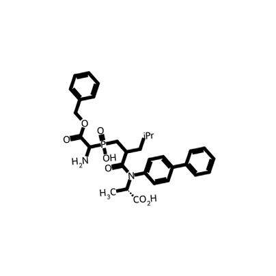 CC(C)CC(CP(=O)(O)C(N)C(=O)OCc1ccccc1)C(=O)N(c1ccc(-c2ccccc2)cc1)[C@@H](C)C(=O)O